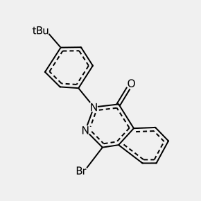 CC(C)(C)c1ccc(-n2nc(Br)c3ccccc3c2=O)cc1